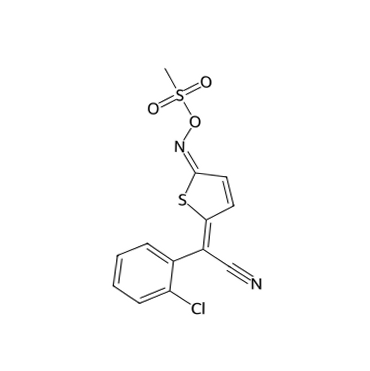 CS(=O)(=O)O/N=C1C=C/C(=C(\C#N)c2ccccc2Cl)S\1